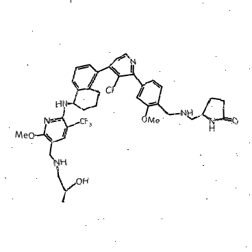 COc1cc(-c2nccc(-c3cccc4c3CCC[C@H]4Nc3nc(OC)c(CNC[C@H](C)O)cc3C(F)(F)F)c2Cl)ccc1CNC[C@H]1CCC(=O)N1